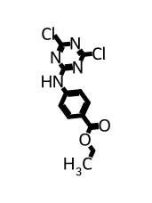 CCOC(=O)c1ccc(Nc2nc(Cl)nc(Cl)n2)cc1